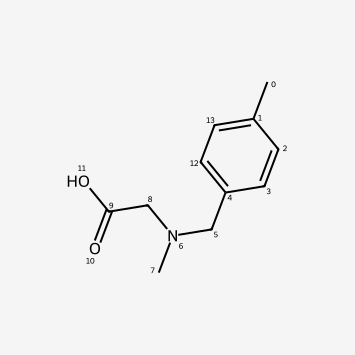 Cc1ccc(CN(C)CC(=O)O)cc1